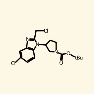 CC(C)(C)OC(=O)N1CCC(n2c(CCl)nc3cc(Cl)ccc32)C1